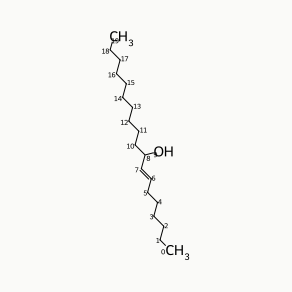 CCCCCCC=CC(O)CCCCCCCCCC